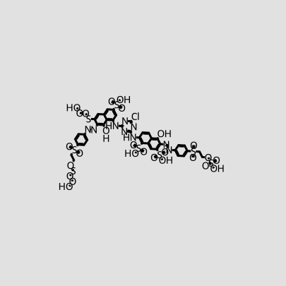 O=S(=O)(O)OCCS(=O)(=O)c1ccc(/N=N/c2c(S(=O)(=O)O)cc3c(S(=O)(=O)O)c(Nc4nc(Cl)nc(Nc5cc(S(=O)(=O)O)cc6cc(SOOO)c(/N=N/c7ccc(S(=O)(=O)CCOSOOO)cc7)c(O)c56)n4)ccc3c2O)cc1